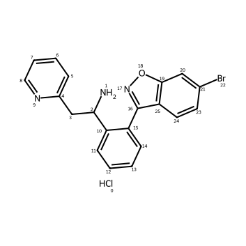 Cl.NC(Cc1ccccn1)c1ccccc1-c1noc2cc(Br)ccc12